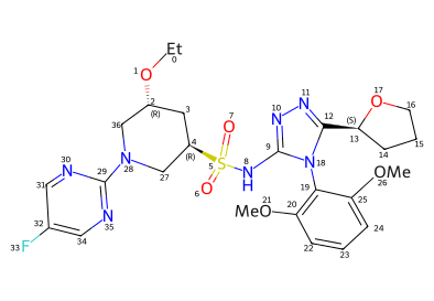 CCO[C@@H]1C[C@@H](S(=O)(=O)Nc2nnc([C@@H]3CCCO3)n2-c2c(OC)cccc2OC)CN(c2ncc(F)cn2)C1